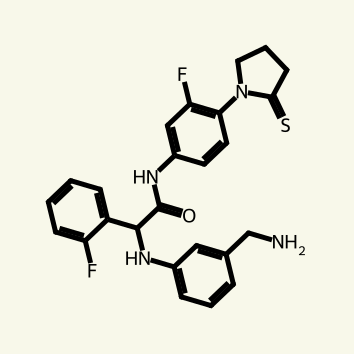 NCc1cccc(NC(C(=O)Nc2ccc(N3CCCC3=S)c(F)c2)c2ccccc2F)c1